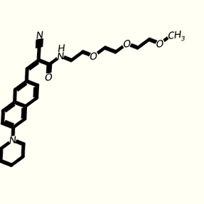 COCCOCCOCCNC(=O)C(C#N)=Cc1ccc2cc(N3CCCCC3)ccc2c1